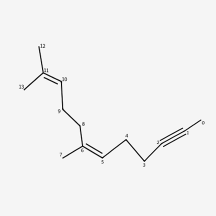 CC#CCCC=C(C)CCC=C(C)C